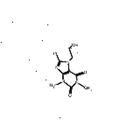 Cn1c(=O)c2c(nc(Cl)n2CCO)n(C)c1=O